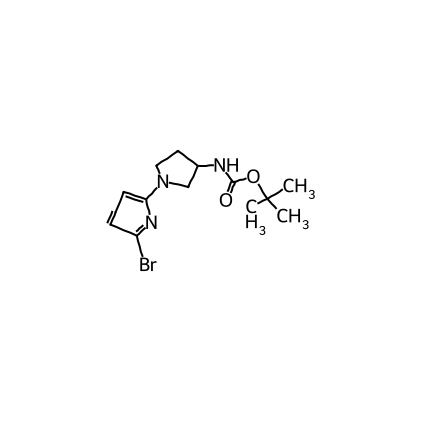 CC(C)(C)OC(=O)NC1CCN(c2cccc(Br)n2)C1